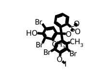 Cc1c(C2(c3cc(Br)c(OI)c(Br)c3C)OS(=O)(=O)c3ccccc32)cc(Br)c(O)c1Br